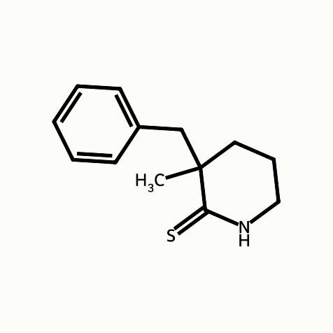 CC1(Cc2ccccc2)CCCNC1=S